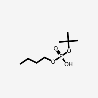 CCCCOP(=O)(O)OC(C)(C)C